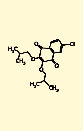 CC(C)COC1=C(OCC(C)C)C(=O)c2cc(Cl)ccc2C1=O